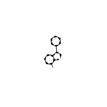 Oc1cccc2c(-c3ccccc3)coc12